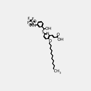 CCCCCCCCCCCCOc1ccc(SC(O)c2cccc(NS(=O)(=O)C(F)(F)F)c2)nc1C=CC(=O)O